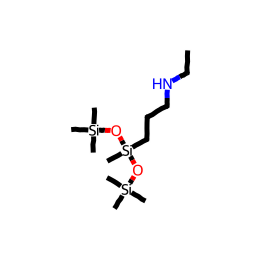 CCNCCC[Si](C)(O[Si](C)(C)C)O[Si](C)(C)C